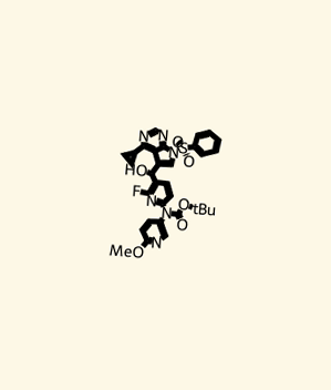 COc1ccc(N(C(=O)OC(C)(C)C)c2ccc(C(O)c3cn(S(=O)(=O)c4ccccc4)c4ncnc(C5CC5)c34)c(F)n2)cn1